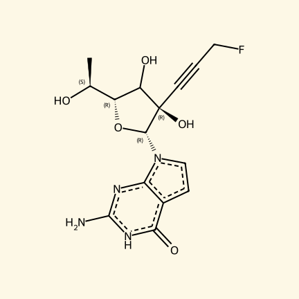 C[C@H](O)[C@H]1O[C@@H](n2ccc3c(=O)[nH]c(N)nc32)[C@@](O)(C#CCF)C1O